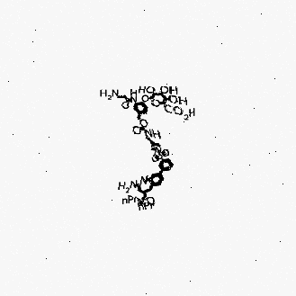 CCCN(CCC)C(=O)C1=Cc2ccc(-c3cccc(S(=O)(=O)N4CC(CNC(=O)OCc5ccc(O[C@H]6O[C@@H](C(=O)O)[C@H](O)[C@@H](O)[C@@H]6O)c(NC(=O)CCN)c5)C4)c3)cc2N=C(N)C1